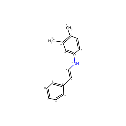 Cc1ccc(NC=Cc2ccccc2)cc1C